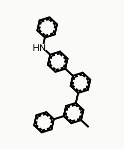 Cc1cc(-c2ccccc2)cc(-c2cccc(-c3ccc(Nc4ccccc4)cc3)c2)c1